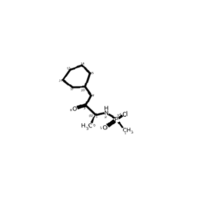 C[C@H](NP(C)(=O)Cl)C(=O)CC1CCCCC1